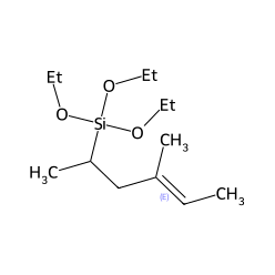 C/C=C(\C)CC(C)[Si](OCC)(OCC)OCC